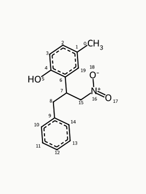 Cc1ccc(O)c(C(Cc2ccccc2)C[N+](=O)[O-])c1